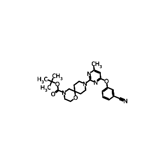 Cc1cc(Oc2cccc(C#N)c2)nc(N2CCC3(CC2)CN(C(=O)OC(C)(C)C)CCO3)n1